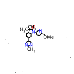 COCc1ccc(N2C(=O)C(C)(C)c3ccc(-c4cnc(C)nc4)cc32)cn1